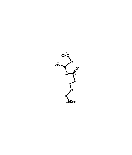 CCCCCCCCCCCCCCC(=O)OC(C[C]=O)CCCCCCCCCC